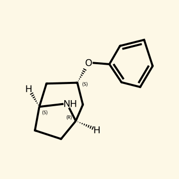 c1ccc(O[C@@H]2C[C@H]3CC[C@@H](C2)N3)cc1